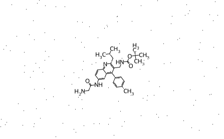 Cc1ccc(-c2c(CNC(=O)OC(C)(C)C)c(CC(C)C)nc3ccc(NC(=O)CN)cc23)cc1